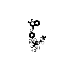 CC1C=C(COc2ccc(S(=O)(=O)NC3(C(=O)NO)CN(C(=O)OC(C)(C)C)C3)cc2)c2ccccc2N1C